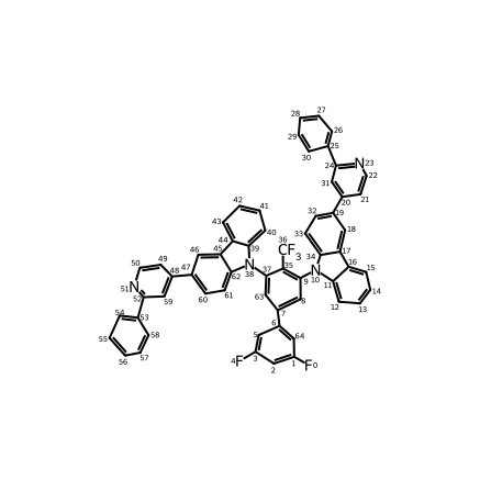 Fc1cc(F)cc(-c2cc(-n3c4ccccc4c4cc(-c5ccnc(-c6ccccc6)c5)ccc43)c(C(F)(F)F)c(-n3c4ccccc4c4cc(-c5ccnc(-c6ccccc6)c5)ccc43)c2)c1